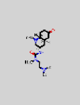 CCCN1C[C@@H](NC(=O)N(C)CCN(CC)CC)C[C@@H]2CC(=O)CC[C@H]21